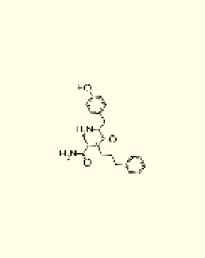 C[C@H](C(N)=O)N(CCCc1ccccc1)C(=O)[C@@H](N)Cc1ccc(O)cc1